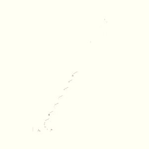 CCCCCCCCCCCCC/C=C/C=C/C=C/C=C/C=C/C=C/C=C/C(=O)O